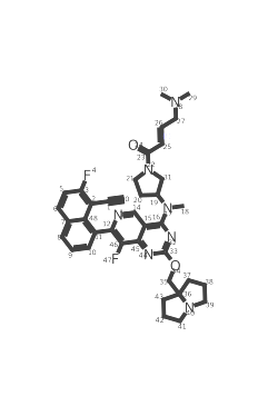 C#Cc1c(F)ccc2cccc(-c3ncc4c(N(C)C5CCN(C(=O)/C=C/CN(C)C)C5)nc(OCC56CCCN5CCC6)nc4c3F)c12